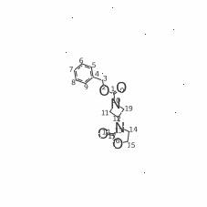 O=C(OCc1ccccc1)N1CC(N2CCOC2=O)C1